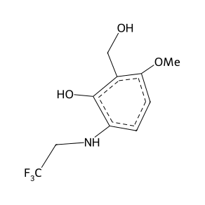 COc1ccc(NCC(F)(F)F)c(O)c1CO